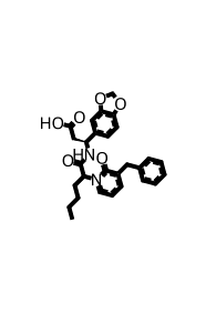 CCCCC(C(=O)N[C@@H](CC(=O)O)c1ccc2c(c1)OCO2)n1cccc(Cc2ccccc2)c1=O